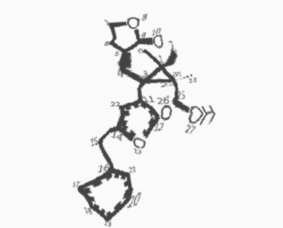 CC1(C)C(C=C2CCOC2=O)(c2coc(Cc3ccccc3)c2)[C@]1(C)C(=O)O